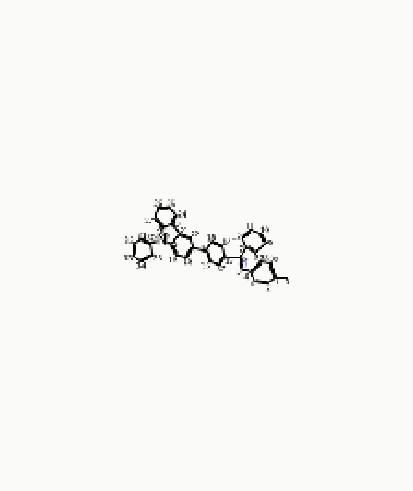 Cc1ccc(/C=C(\c2ccccc2)c2ccc(-c3ccc4c(c3)c3ccccc3n4-c3ccccc3)cc2)cc1